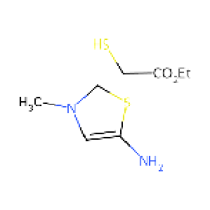 CCOC(=O)CS.CN1C=C(N)SC1